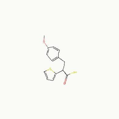 COc1ccc(CC(C(=O)S)c2cccs2)cc1